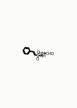 O=CNNS(=O)(=O)C=Cc1ccccc1